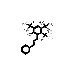 CC(C)(C)c1cc(C(C)(C)C)c(C(C)(C)C)c(CC=CC2C=CC=CC2)c1O